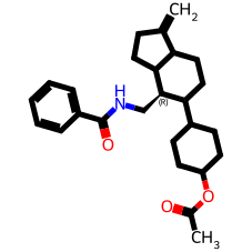 C=C1CCC2C1CCC(C1CCC(OC(C)=O)CC1)[C@H]2CNC(=O)c1ccccc1